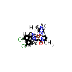 CC(=O)N1CCN(C(=O)[C@@H]2CC[C@@H](C)N2C(=O)C2=C(C(C)C)N3C(=N[C@@](C)(c4ccc(Cl)cc4)[C@H]3c3ccc(Cl)cc3)S2)C[C@@H]1C